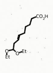 CCOC(CC=CCCCCC(=O)O)OCC